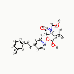 COCO[C@@]1(Cc2cc(CCc3cccc(C)c3)ccn2)C(=O)N(COC)[C@H]1CC(C)C